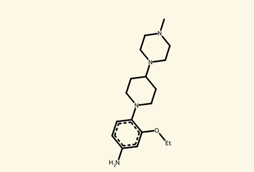 CCOc1cc(N)ccc1N1CCC(N2CCN(C)CC2)CC1